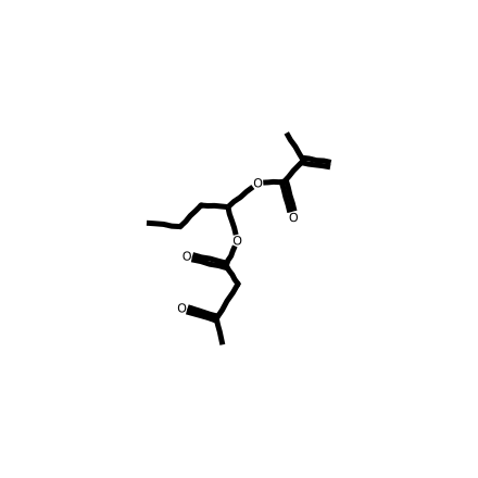 C=C(C)C(=O)OC(CCC)OC(=O)CC(C)=O